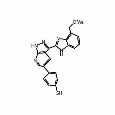 COCc1cccc2[nH]c(-c3n[nH]c4ncc(-c5ccc(S)cc5)cc34)nc12